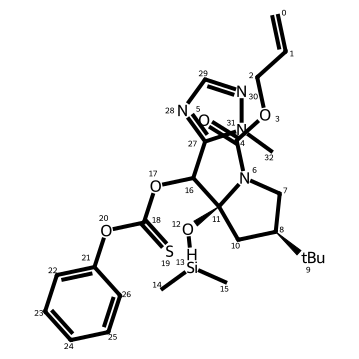 C=CCOC(=O)N1C[C@@H](C(C)(C)C)C[C@]1(O[SiH](C)C)C(OC(=S)Oc1ccccc1)c1ncnn1C